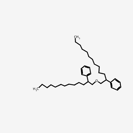 CCCCCCCCCCCC(COCC(CCCCCCCCCCC)c1ccccc1)c1ccccc1